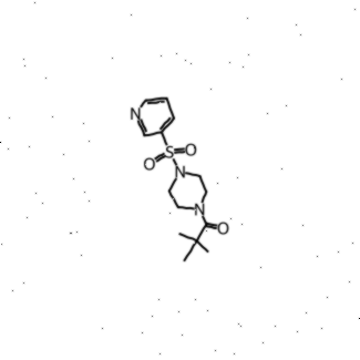 CC(C)(C)C(=O)N1CCN(S(=O)(=O)c2cccnc2)CC1